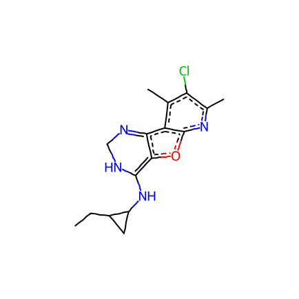 CCC1CC1NC1=c2oc3nc(C)c(Cl)c(C)c3c2=NCN1